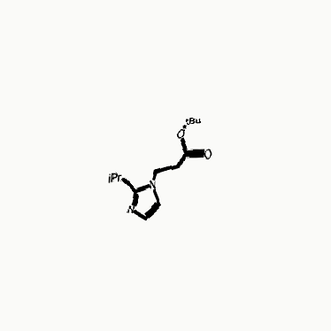 CC(C)c1nccn1CCC(=O)OC(C)(C)C